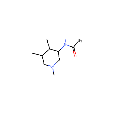 CC(C)C(=O)NC1CN(C)CC(C)C1C